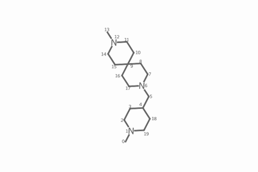 CN1CCC(CN2CCC3(CCN(C)CC3)CC2)CC1